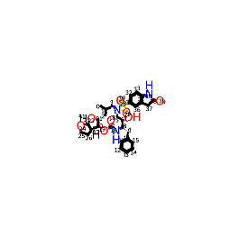 CC(C)CN(C[C@@H](O)[C@H](Cc1ccccc1)NC(=O)OC1CO[C@H]2OCC[C@@H]12)S(=O)(=O)c1ccc2c(c1)CC(=O)N2